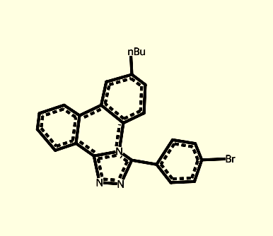 CCCCc1ccc2c(c1)c1ccccc1c1nnc(-c3ccc(Br)cc3)n21